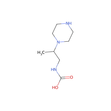 CC(CNC(=O)O)N1CCNCC1